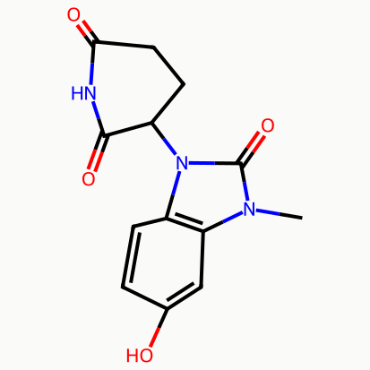 Cn1c(=O)n(C2CCC(=O)NC2=O)c2ccc(O)cc21